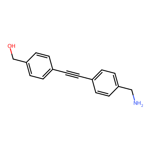 NCc1ccc(C#Cc2ccc(CO)cc2)cc1